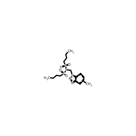 CCCCS(=O)(=O)N(Cn1nnc2cc(C)ccc21)S(=O)(=O)CCCC